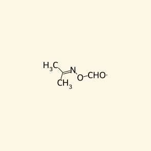 CC(C)=NO[C]=O